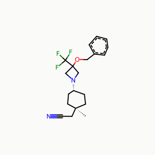 C[C@]1(CC#N)CC[C@H](N2CC(OCc3ccccc3)(C(F)(F)F)C2)CC1